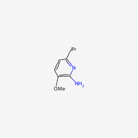 COc1ccc(C(C)C)nc1N